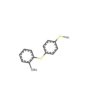 CSc1ccccc1Sc1ccc(SC(C)=O)cc1